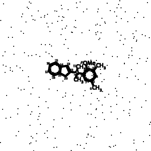 COc1c(C)cc(C)cc1[Si](C)(C)C1=Cc2ccccc2C1